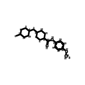 CC1CCC(CC2CCC(C(=O)Oc3ccc(OC(F)(F)F)cc3)CC2)CC1